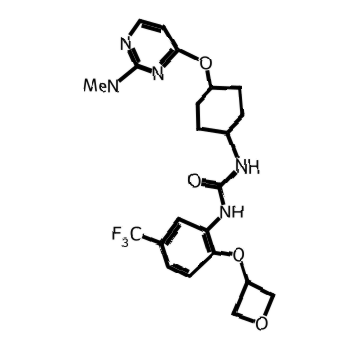 CNc1nccc(OC2CCC(NC(=O)Nc3cc(C(F)(F)F)ccc3OC3COC3)CC2)n1